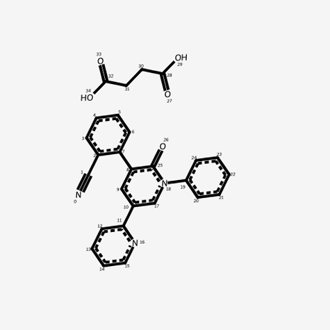 N#Cc1ccccc1-c1cc(-c2ccccn2)cn(-c2ccccc2)c1=O.O=C(O)CCC(=O)O